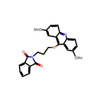 COc1ccc2nc3ccc(OC)cc3c(SCCCN3C(=O)c4ccccc4C3=O)c2c1